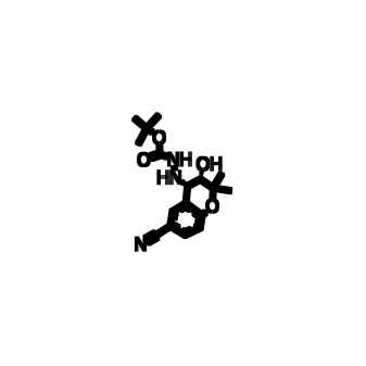 CC(C)(C)OC(=O)NN[C@@H]1c2cc(C#N)ccc2OC(C)(C)[C@H]1O